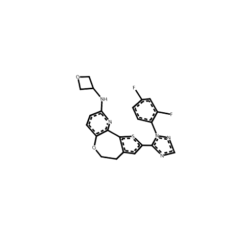 Fc1ccc(-n2ncnc2-c2cc3c(s2)-c2nc(NC4COC4)ccc2OCC3)c(F)c1